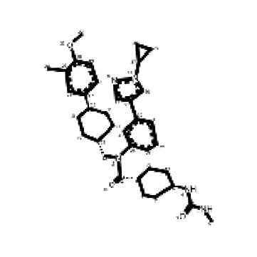 CNC(=O)N[C@H]1CC[C@H](C(=O)N(C[C@H]2CC[C@H](c3ccc(OC)c(C)c3)CC2)c2cccc(-c3cnn(C4CC4)c3)c2)CC1